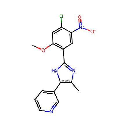 COc1cc(Cl)c([N+](=O)[O-])cc1-c1nc(C)c(-c2cccnc2)[nH]1